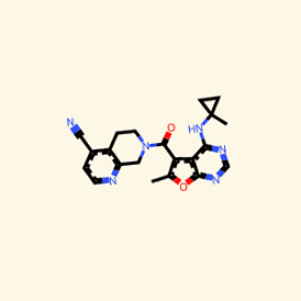 Cc1oc2ncnc(NC3(C)CC3)c2c1C(=O)N1CCc2c(C#N)ccnc2C1